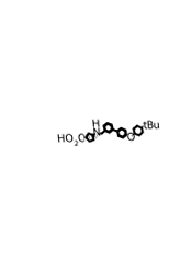 CC(C)(C)[C@H]1CC[C@H](Oc2ccc(-c3cccc(CN[C@@H]4CC[C@H](C(=O)O)C4)c3)cc2)CC1